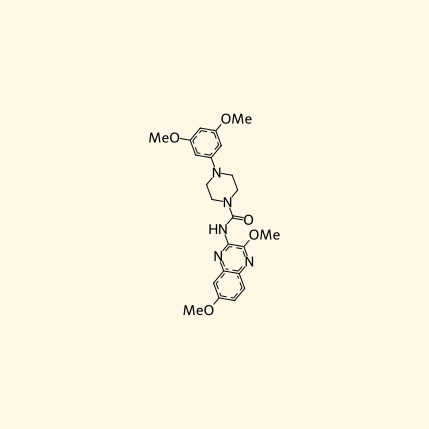 COc1cc(OC)cc(N2CCN(C(=O)Nc3nc4cc(OC)ccc4nc3OC)CC2)c1